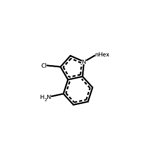 CCCCCCn1cc(Cl)c2c(N)cccc21